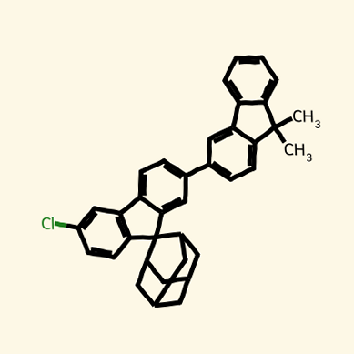 CC1(C)c2ccccc2-c2cc(-c3ccc4c(c3)C3(c5ccc(Cl)cc5-4)C4CC5CC(C4)CC3C5)ccc21